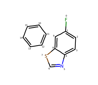 Fc1ccc2ncsc2c1.c1ccccc1